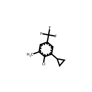 Cc1cc(C(F)(F)F)cc(C2CC2)c1Cl